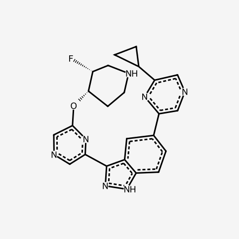 F[C@@H]1CNCC[C@@H]1Oc1cncc(-c2n[nH]c3ccc(-c4cncc(C5CC5)n4)cc23)n1